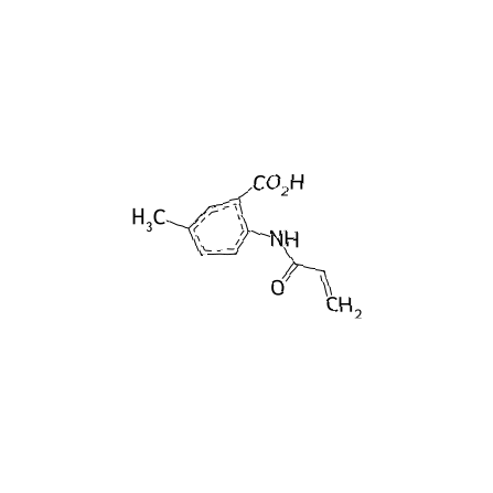 C=CC(=O)Nc1ccc(C)cc1C(=O)O